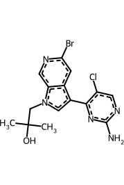 CC(C)(O)Cn1cc(-c2nc(N)ncc2Cl)c2cc(Br)ncc21